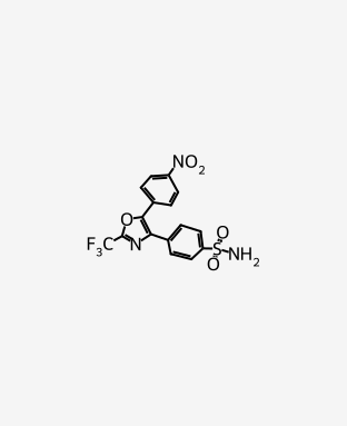 NS(=O)(=O)c1ccc(-c2nc(C(F)(F)F)oc2-c2ccc([N+](=O)[O-])cc2)cc1